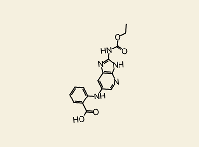 CCOC(=O)Nc1nc2cc(Nc3ccccc3C(=O)O)cnc2[nH]1